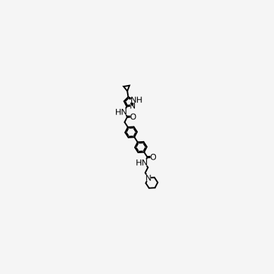 O=C(Cc1ccc(-c2ccc(C(=O)NCCN3CCCCC3)cc2)cc1)Nc1cc(C2CC2)[nH]n1